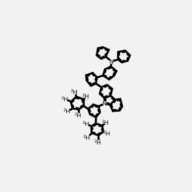 [2H]c1c([2H])c([2H])c(-c2cc(-c3c([2H])c([2H])c([2H])c([2H])c3[2H])cc(-n3c4ccccc4c4ccc(-c5ccccc5-c5cccc(N(c6ccccc6)c6ccccc6)c5)cc43)c2)c([2H])c1[2H]